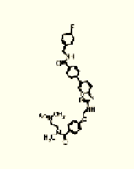 CC(=O)N(C)CCN(C)C(=O)c1ccc(OCNc2nc3ccc(-c4ccc(C(=O)NCc5ccc(F)cc5)cc4)cn3n2)cc1